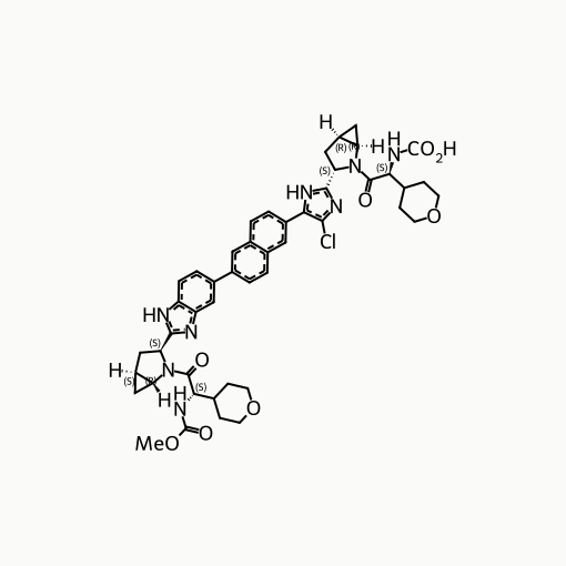 COC(=O)N[C@H](C(=O)N1[C@@H]2C[C@H]2C[C@H]1c1nc2cc(-c3ccc4cc(-c5[nH]c([C@@H]6C[C@H]7C[C@H]7N6C(=O)[C@@H](NC(=O)O)C6CCOCC6)nc5Cl)ccc4c3)ccc2[nH]1)C1CCOCC1